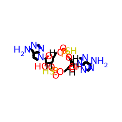 Nc1ncnc2c1ccn2[C@@H]1O[C@@H]2COP(=O)(S)O[C@@H]3[C@H](O)[C@@H](CO[P@@](=O)(S)O[C@@H]2[C@H]1O)O[C@H]3n1cnc2c(N)ncnc21